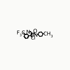 CC1CCC(NC(=O)c2cnc3c(C(F)(F)F)cccc3c2Cl)CC1